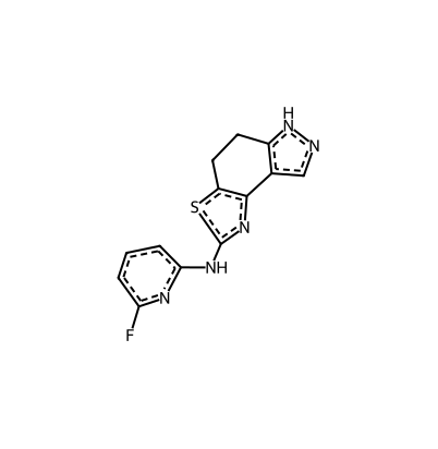 Fc1cccc(Nc2nc3c(s2)CCc2[nH]ncc2-3)n1